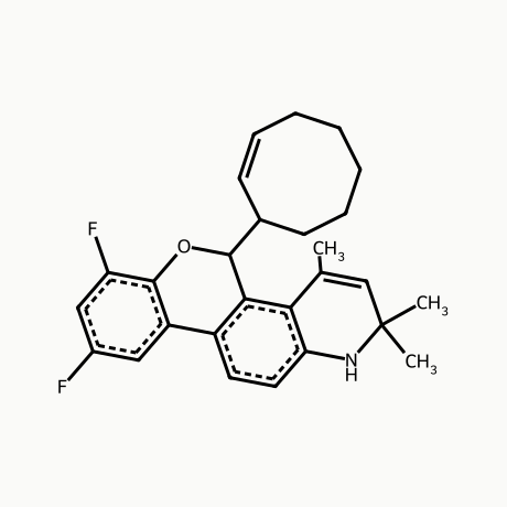 CC1=CC(C)(C)Nc2ccc3c(c21)C(C1/C=C\CCCCC1)Oc1c(F)cc(F)cc1-3